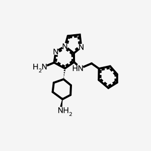 Nc1nn2ccnc2c(NCc2ccccc2)c1[C@H]1CC[C@H](N)CC1